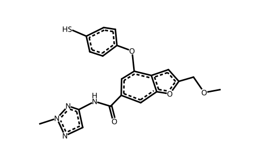 COCc1cc2c(Oc3ccc(S)cc3)cc(C(=O)Nc3cnn(C)n3)cc2o1